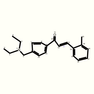 CCN(CC)Cc1ccc(C(=O)/C=C/c2ccccc2C)cc1